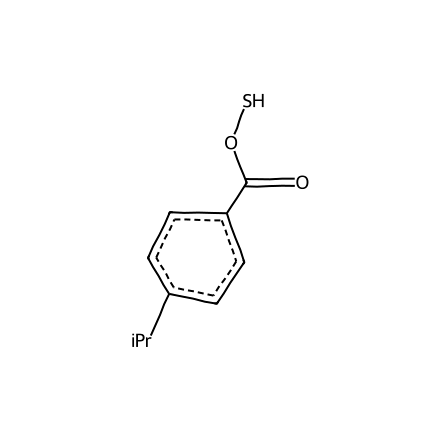 CC(C)c1ccc(C(=O)OS)cc1